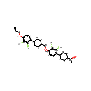 C=CCOc1ccc(C2CCC(COc3ccc(C4CCC(C(C)O)CC4)c(F)c3F)CC2)c(F)c1F